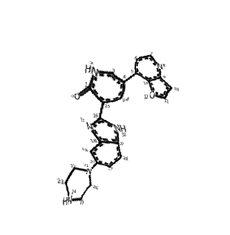 O=c1[nH]cc(-c2ccnc3ccoc23)cc1-c1nc2cc(N3CCNCC3)ccc2[nH]1